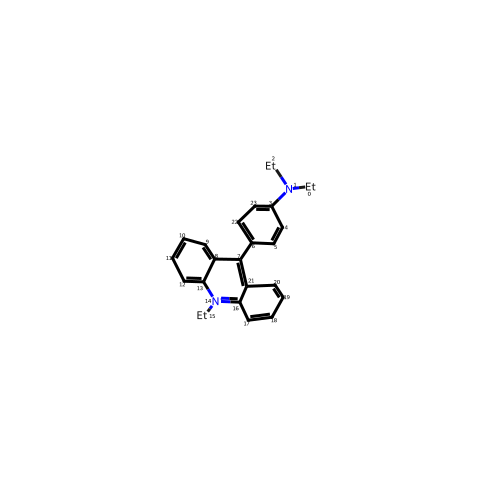 CCN(CC)c1ccc(-c2c3ccccc3[n+](CC)c3ccccc23)cc1